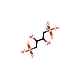 O=S(=O)(O)CC(O)C(O)CS(=O)(=O)O